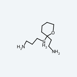 NCCC[SiH2]C1(CCN)CCCCO1